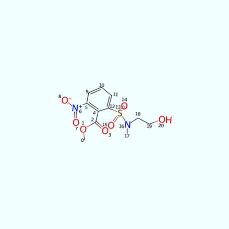 COC(=O)c1c([N+](=O)[O-])cccc1S(=O)(=O)N(C)CCO